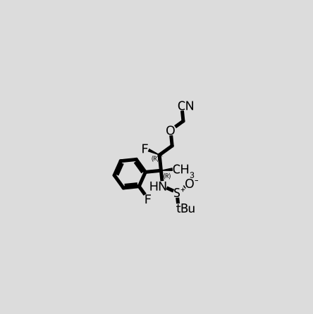 CC(C)(C)[S+]([O-])N[C@](C)(c1ccccc1F)[C@@H](F)COCC#N